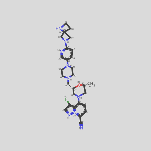 C[C@@H]1CN(c2ccc(C#N)n3ncc(F)c23)C[C@H](CN2CCN(c3ccc(N4CC5(CCN5)C4)nc3)CC2)O1